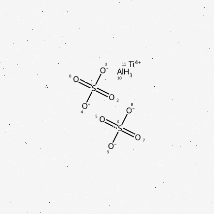 O=S(=O)([O-])[O-].O=S(=O)([O-])[O-].[AlH3].[Ti+4]